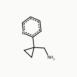 NCC1(c2ccccn2)CC1